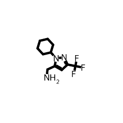 NCc1cc(C(F)(F)F)nn1C1CCCCC1